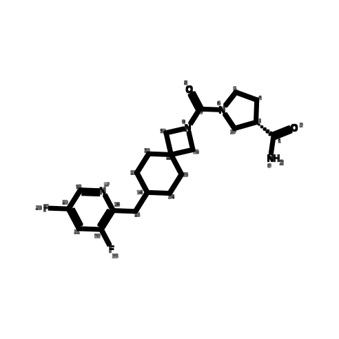 NC(=O)[C@H]1CCN(C(=O)N2CC3(CCC(Cc4ncc(F)cc4F)CC3)C2)C1